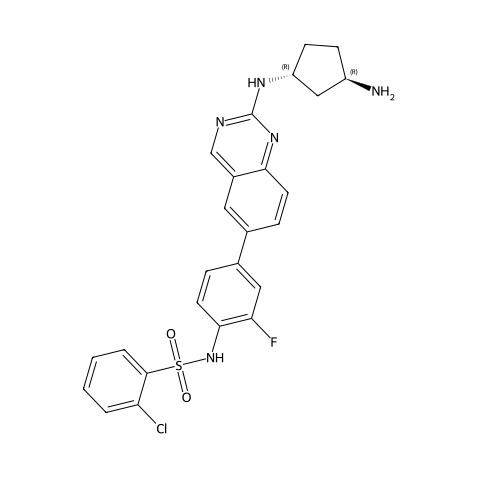 N[C@@H]1CC[C@@H](Nc2ncc3cc(-c4ccc(NS(=O)(=O)c5ccccc5Cl)c(F)c4)ccc3n2)C1